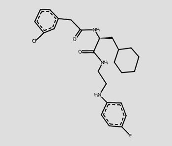 O=C(Cc1cccc(Cl)c1)N[C@@H](CC1CCCCC1)C(=O)NCCNc1ccc(F)cc1